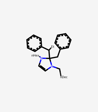 CCCCCCCCCCCN1C=CN(CCCCCC)C1(Cc1ccccc1)C(CC)c1ccccc1